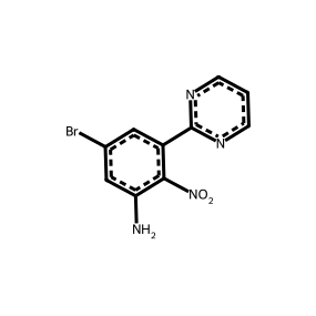 Nc1cc(Br)cc(-c2ncccn2)c1[N+](=O)[O-]